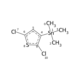 [CH3][Sn]([CH3])([CH3])[c]1cc(Cl)sc1Cl